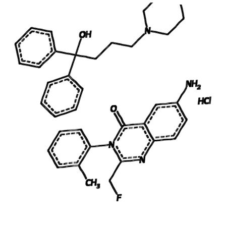 Cc1ccccc1-n1c(CF)nc2ccc(N)cc2c1=O.Cl.OC(CCCN1CCCCC1)(c1ccccc1)c1ccccc1